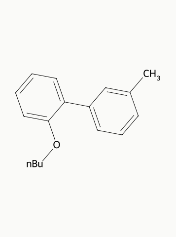 CCCCOc1ccccc1-c1cccc(C)c1